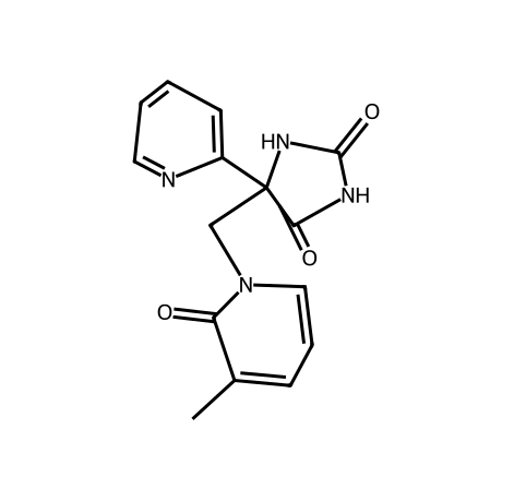 Cc1cccn(CC2(c3ccccn3)NC(=O)NC2=O)c1=O